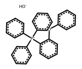 [OH-].c1ccc(Oc2ccccc2[P+](c2ccccc2)(c2ccccc2)c2ccccc2)cc1